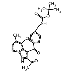 Cc1ccc2[nH]c(C(N)=O)c(C(=O)c3ccc(CNC(=O)OC(C)(C)C)cc3)c2c1C